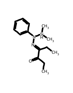 CCC(=O)C(CC)=NN(c1ccccc1)[SiH](C)C